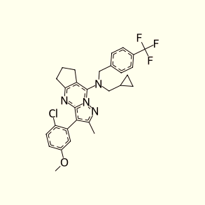 COc1ccc(Cl)c(-c2c(C)nn3c(N(Cc4ccc(C(F)(F)F)cc4)CC4CC4)c4c(nc23)CCC4)c1